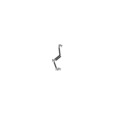 CCCN=CC(C)C